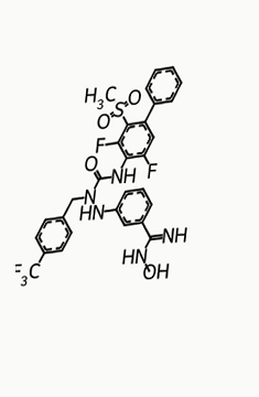 CS(=O)(=O)c1c(-c2ccccc2)cc(F)c(NC(=O)N(Cc2ccc(C(F)(F)F)cc2)Nc2cccc(C(=N)NO)c2)c1F